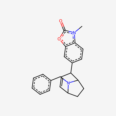 Cn1c(=O)oc2cc(C3C=CC4CCC3N4Cc3ccccc3)ccc21